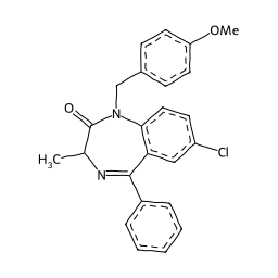 COc1ccc(CN2C(=O)C(C)N=C(c3ccccc3)c3cc(Cl)ccc32)cc1